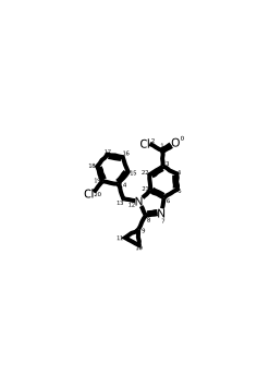 O=C(Cl)c1ccc2nc(C3CC3)n(Cc3ccccc3Cl)c2c1